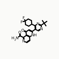 CC(C)(C)c1ncc(-c2cc(=O)c3c(C(N)=O)nccc3[nH]2)c(C2CCC(F)(F)CC2)n1